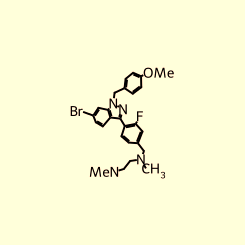 CNCCN(C)Cc1ccc(-c2nn(Cc3ccc(OC)cc3)c3cc(Br)ccc23)c(F)c1